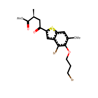 COC(=O)[C@@H](C)CC(=O)c1cc2c(Br)c(OCCCBr)c(OC)cc2s1